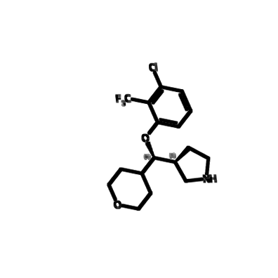 FC(F)(F)c1c(Cl)cccc1O[C@H](C1CCOCC1)[C@H]1CCNC1